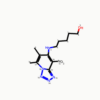 Cc1c(NCCCCCO)c([N+](=O)[O-])c2nnnn2c1C